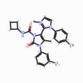 Cc1c(-c2n(-c3ccc(C#N)cc3)cc[n+]2C)n(C(=O)NC2CCC2)c(=O)n1-c1cccc(C(F)(F)F)c1